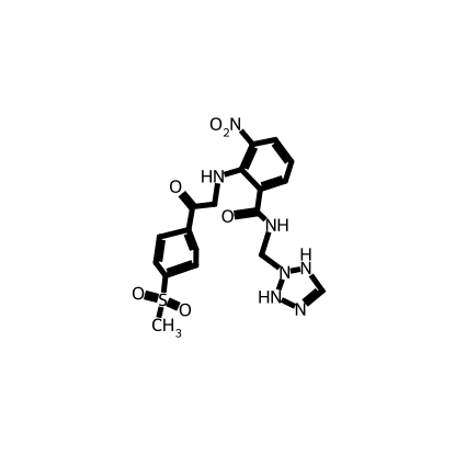 CS(=O)(=O)c1ccc(C(=O)CNc2c(C(=O)NCN3NC=NN3)cccc2[N+](=O)[O-])cc1